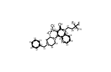 O=c1c([N+](=O)[O-])c(N2CCN(Cc3ccccc3)CC2)c2ncccc2n1CCC(F)(F)F